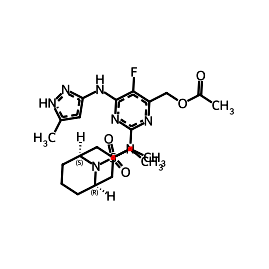 CCS(=O)(=O)N1[C@@H]2CCC[C@H]1CC(N(C)c1nc(COC(C)=O)c(F)c(Nc3cc(C)[nH]n3)n1)C2